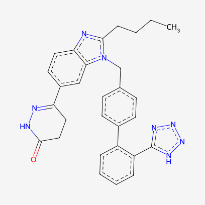 CCCCc1nc2ccc(C3=NNC(=O)CC3)cc2n1Cc1ccc(-c2ccccc2-c2nnn[nH]2)cc1